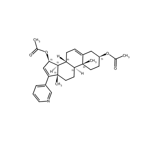 CC(=O)O[C@H]1CC[C@@]2(C)C(=CC[C@H]3[C@@H]4[C@H](OC(C)=O)C=C(c5cccnc5)[C@@]4(C)CC[C@@H]32)C1